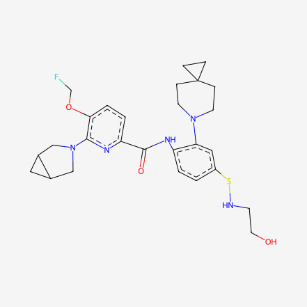 O=C(Nc1ccc(SNCCO)cc1N1CCC2(CC1)CC2)c1ccc(OCF)c(N2CC3CC3C2)n1